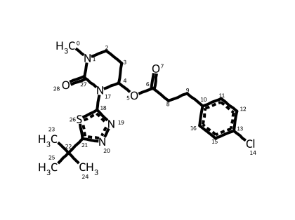 CN1CCC(OC(=O)CCc2ccc(Cl)cc2)N(c2nnc(C(C)(C)C)s2)C1=O